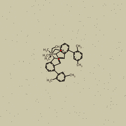 [CH2]=[Hf]([CH3])([CH3])([CH2]C)([CH2]C)([CH]1C=Cc2c(-c3cc(C)ccc3C)cccc21)[CH]1C=Cc2c(-c3cc(C)ccc3C)cccc21